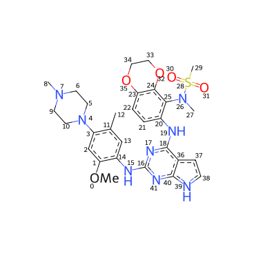 COc1cc(N2CCN(C)CC2)c(C)cc1Nc1nc(Nc2ccc3c(c2N(C)S(C)(=O)=O)OCCO3)c2cc[nH]c2n1